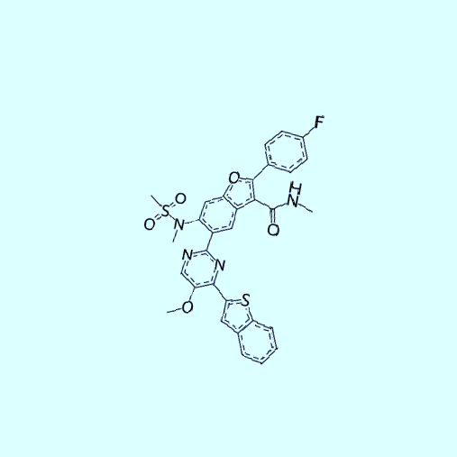 CNC(=O)c1c(-c2ccc(F)cc2)oc2cc(N(C)S(C)(=O)=O)c(-c3ncc(OC)c(-c4cc5ccccc5s4)n3)cc12